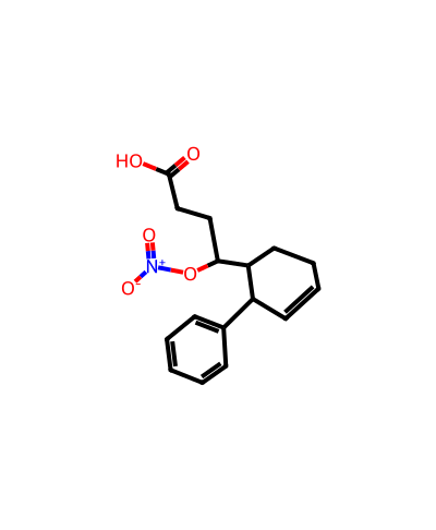 O=C(O)CCC(O[N+](=O)[O-])C1CCC=CC1c1ccccc1